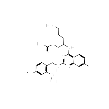 CCCCC(CNC(C)=O)Nc1nc(NCc2ccc(OC)cc2OC)nc2cc(F)ccc12